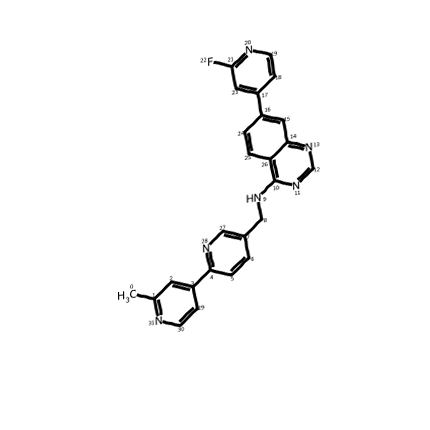 Cc1cc(-c2ccc(CNc3ncnc4cc(-c5ccnc(F)c5)ccc34)cn2)ccn1